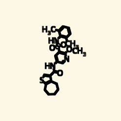 COc1ncc(NC(=O)c2csc3c2CCCCC3)cc1S(=O)(=O)Nc1c(C)cccc1C